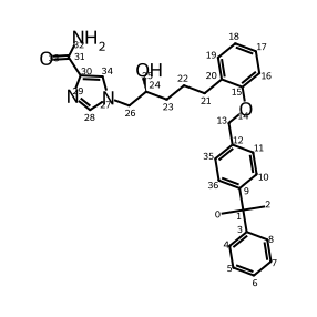 CC(C)(c1ccccc1)c1ccc(COc2ccccc2CCC[C@H](O)Cn2cnc(C(N)=O)c2)cc1